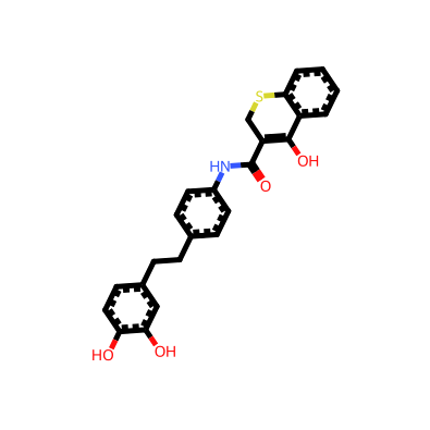 O=C(Nc1ccc(CCc2ccc(O)c(O)c2)cc1)C1=C(O)c2ccccc2SC1